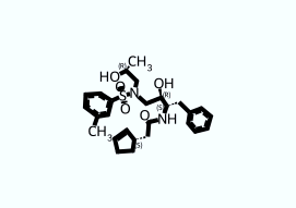 Cc1cccc(S(=O)(=O)N(C[C@@H](O)[C@H](Cc2ccccc2)NC(=O)C[C@H]2C=CCC2)C[C@@H](C)O)c1